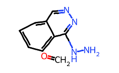 C=O.NNc1nncc2ccccc12